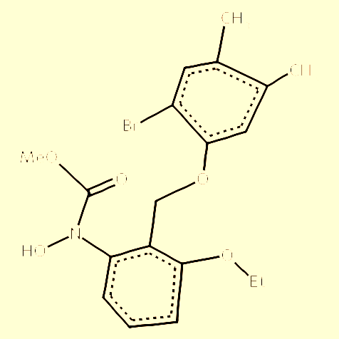 CCOc1cccc(N(O)C(=O)OC)c1COc1cc(C)c(C)cc1Br